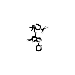 CC(C)(C)C1(COc2cc(Cl)nc3c2cnn3C2CCCCO2)CN(C(=O)O)CCO1